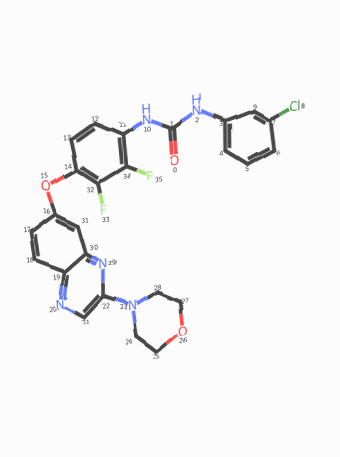 O=C(Nc1cccc(Cl)c1)Nc1ccc(Oc2ccc3ncc(N4CCOCC4)nc3c2)c(F)c1F